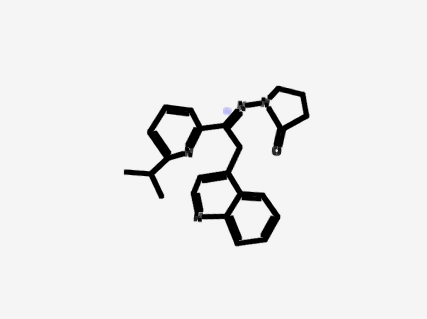 CC(C)c1cccc(/C(Cc2ccnc3ccccc23)=N/N2CCCC2=O)n1